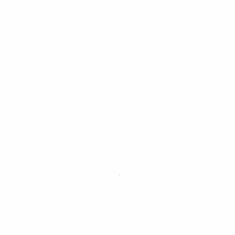 O=S(=O)(C1=CCCCCC1)C(F)(F)F